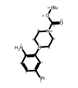 CC(C)c1ccc(N)c(N2CCN(C(=O)OC(C)(C)C)CC2)c1